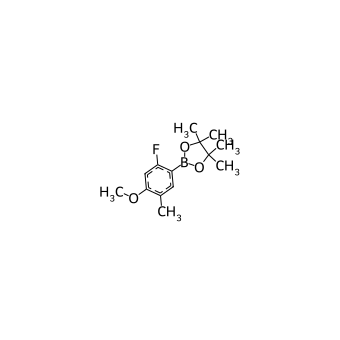 COc1cc(F)c(B2OC(C)(C)C(C)(C)O2)cc1C